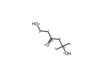 CC(C)(O)CC(=O)CCO